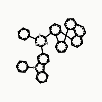 c1ccc(-c2nc(-c3ccc4c5ccccc5n(-c5ccccc5)c4c3)nc(-c3cccc4c3-c3ccccc3C43c4cccc5ccc6cccc3c6c45)n2)cc1